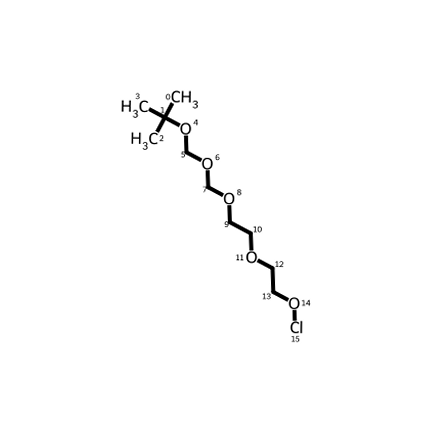 CC(C)(C)OCOCOCCOCCOCl